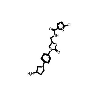 NC1CCN(c2ccc(N3CC(CNC(=O)c4ccc(Cl)s4)OC3=O)cc2)C1